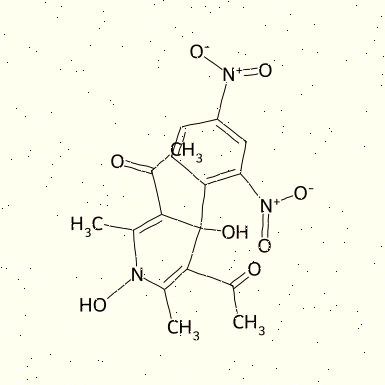 CC(=O)C1=C(C)N(O)C(C)=C(C(C)=O)C1(O)c1ccc([N+](=O)[O-])cc1[N+](=O)[O-]